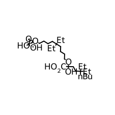 CCCCC(CC)(CC)CCC(O)(OCCCCC(CC)(CC)CCCCOP(=O)(O)O)C(=O)O